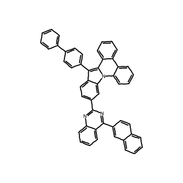 c1ccc(-c2ccc(-c3c4ccc(-c5nc(-c6ccc7ccccc7c6)c6ccccc6n5)cc4n4c5ccccc5c5ccccc5c34)cc2)cc1